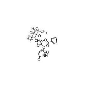 CC(C)C(O[C@H]1COC(On2ccc(=O)[nH]c2=O)[C@@H]1OC(=O)c1ccccc1)(C(C)C)P(=O)(O)O